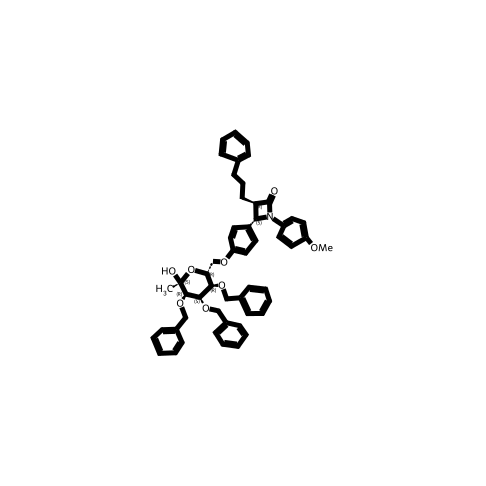 COc1ccc(N2C(=O)[C@H](CCCc3ccccc3)[C@H]2c2ccc(OC[C@H]3O[C@](C)(O)[C@H](OCc4ccccc4)[C@@H](OCc4ccccc4)[C@@H]3OCc3ccccc3)cc2)cc1